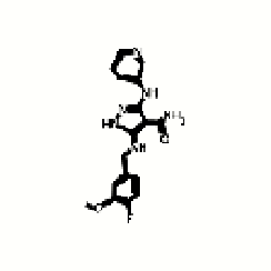 COc1cc(CNc2[nH]nc(Nc3cccnc3)c2C(N)=O)ccc1F